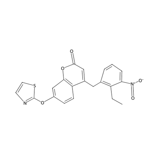 CCc1c(Cc2cc(=O)oc3cc(Oc4nccs4)ccc23)cccc1[N+](=O)[O-]